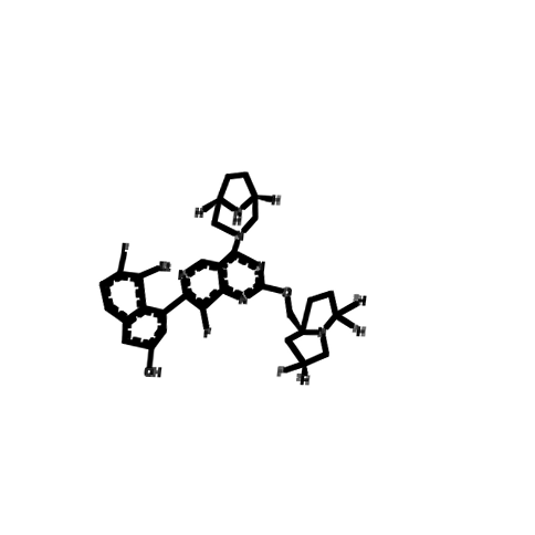 [2H]C1([2H])CC[C@@]2(COc3nc(N4C[C@H]5CC[C@@H](C4)N5)c4cnc(-c5cc(O)cc6ccc(F)c(CC)c56)c(F)c4n3)C[C@@]([2H])(F)CN12